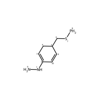 NNC1=CCC(CSP)C=C1